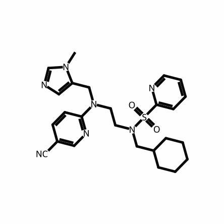 Cn1cncc1CN(CCN(CC1CCCCC1)S(=O)(=O)c1ccccn1)c1ccc(C#N)cn1